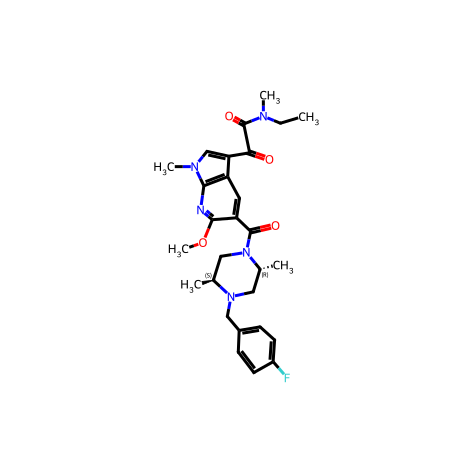 CCN(C)C(=O)C(=O)c1cn(C)c2nc(OC)c(C(=O)N3C[C@H](C)N(Cc4ccc(F)cc4)C[C@H]3C)cc12